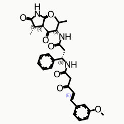 COc1cccc(/C=C/C(=O)CC(=O)N[C@@H](CC(=O)N[C@H](C(=O)[C@@H]2C(=O)NC(=O)[C@H]2C)C(C)C)c2ccccc2)c1